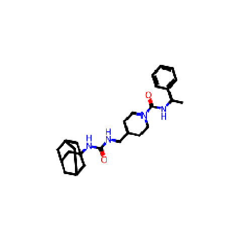 CC(NC(=O)N1CCC(CNC(=O)NC23CC4CC(CC(C4)C2)C3)CC1)c1ccccc1